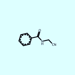 N#CCNC(=O)c1[c]cccc1